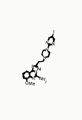 COc1cccc2c1nc(N)n1nc(CCN3CCN(c4ncc(F)cn4)CC3)nc21